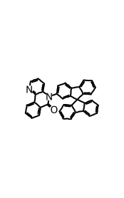 O=c1c2ccccc2c2ncccc2n1-c1ccc2c(c1)C1(c3ccccc3-c3ccccc31)c1ccccc1-2